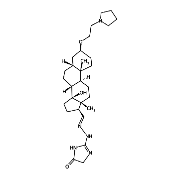 C[C@]12CC[C@H](OCCN3CCCC3)C[C@H]1CC[C@@H]1[C@@H]2CC[C@]2(C)[C@@H](/C=N/NC3=NCC(=O)N3)CC[C@]12O